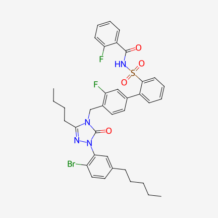 CCCCCc1ccc(Br)c(-n2nc(CCCC)n(Cc3ccc(-c4ccccc4S(=O)(=O)NC(=O)c4ccccc4F)cc3F)c2=O)c1